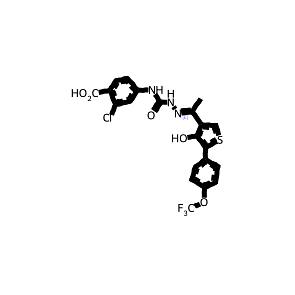 C/C(=N\NC(=O)Nc1ccc(C(=O)O)c(Cl)c1)c1csc(-c2ccc(OC(F)(F)F)cc2)c1O